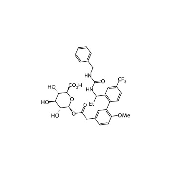 CCC(NC(=O)NCc1ccccc1)c1cc(C(F)(F)F)ccc1-c1cc(CC(=O)O[C@@H]2O[C@H](C(=O)O)[C@@H](O)[C@H](O)[C@H]2O)ccc1OC